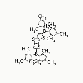 Cc1cc(C)c(B(c2cc3sc4cc(B(c5c(C)cc(C)cc5C)c5c(C)cc(C)cc5C)sc4c3s2)c2c(C)cc(C)cc2C)c(C)c1